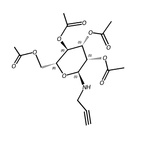 C#CCN[C@H]1O[C@H](COC(C)=O)[C@@H](OC(C)=O)[C@H](OC(C)=O)[C@@H]1OC(C)=O